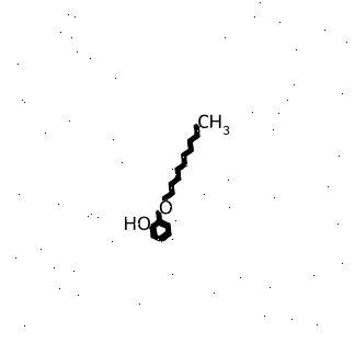 CCCCCCCCCCCCOCc1ccccc1O